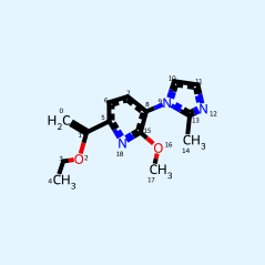 C=C(OCC)c1ccc(-n2ccnc2C)c(OC)n1